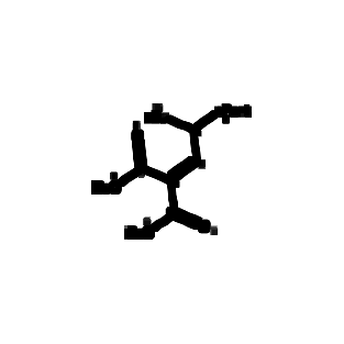 CCCCCC(C=C(C(=O)OCC(C)C)C(=O)OCC(C)C)CCCC